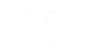 COc1cc2nn([C@H]3CC[C@H](C=O)CC3)c(C)c2cc1NC(=O)c1cccc(C)n1